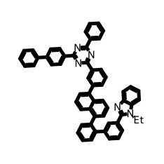 CCn1c(-c2cccc(-c3ccccc3-c3cccc4c(-c5cccc(-c6nc(-c7ccccc7)nc(-c7ccc(-c8ccccc8)cc7)n6)c5)cccc34)c2)nc2ccccc21